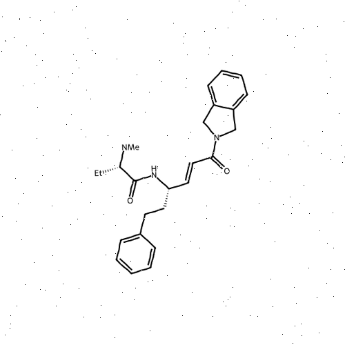 CC[C@H](NC)C(=O)N[C@H](/C=C/C(=O)N1Cc2ccccc2C1)CCc1ccccc1